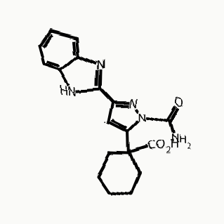 NC(=O)n1nc(-c2nc3ccccc3[nH]2)[c]c1C1(C(=O)O)CCCCC1